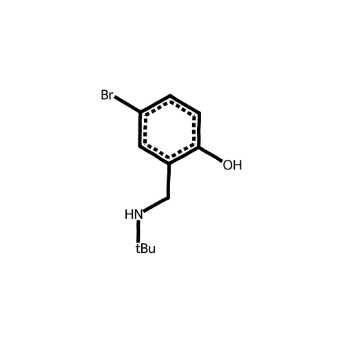 CC(C)(C)NCc1cc(Br)ccc1O